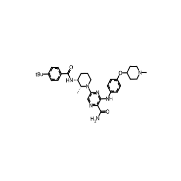 C[C@@H]1[C@H](NC(=O)c2ccc(C(C)(C)C)cc2)CCCN1c1cnc(C(N)=O)c(Nc2ccc(OC3CCN(C)CC3)cc2)n1